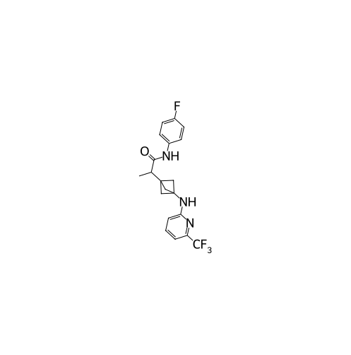 CC(C(=O)Nc1ccc(F)cc1)C12CC(Nc3cccc(C(F)(F)F)n3)(C1)C2